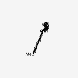 COCCOCCOCCOCCOCCOCCOCCOCCC(=O)NCCC[C@H](C(=O)ON1C(=O)CCC1=O)N1C(=O)C=CC1=O